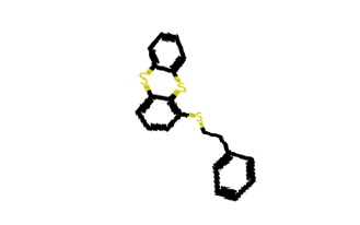 c1ccc(CCSc2cccc3c2Sc2ccccc2S3)cc1